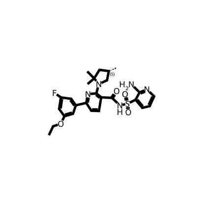 CCOc1cc(F)cc(-c2ccc(C(=O)NS(=O)(=O)c3cccnc3N)c(N3C[C@@H](C)CC3(C)C)n2)c1